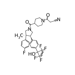 C[C@]1(c2ccc(F)cc2)CN(C(=O)C2CCN(C(=O)CC#N)CC2)C[C@H]1c1ccc(C(O)(C(F)(F)F)C(F)(F)F)cc1